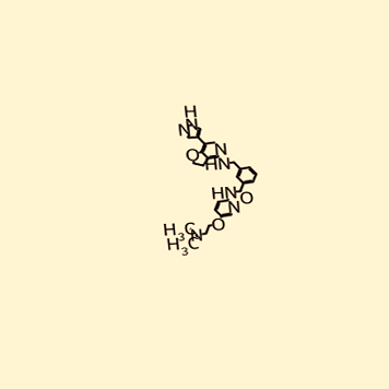 CN(C)CCOc1ccc(NC(=O)c2cccc(CNc3ncc(-c4cn[nH]c4)c4c3CCO4)c2)nc1